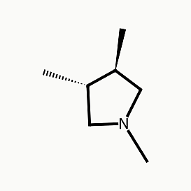 C[C@H]1CN(C)C[C@@H]1C